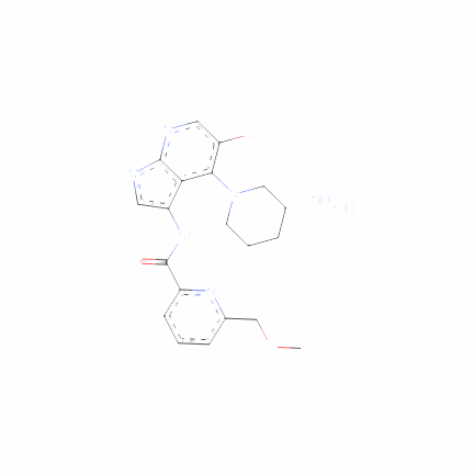 COCc1cccc(C(=O)Nc2c[nH]c3ncc(Br)c(N4CCC[C@@H](N)C4)c23)n1.Cl